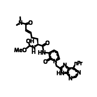 CCCc1ncnc2[nH]c(Cn3cccc(NC(=O)[C@H](CC/C=C/C(=O)N(C)C)NC(O)OC)c3=O)nc12